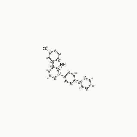 Clc1ccc2[nH]c3c(-c4ccc(-c5ccccc5)cc4)cccc3c2c1